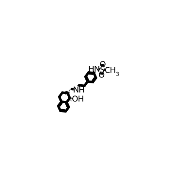 CS(=O)(=O)Nc1ccc(CCNC[C@H]2CCc3ccccc3[C@H]2O)cc1